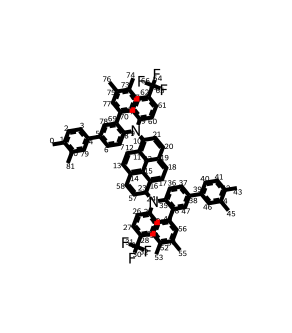 Cc1ccc(-c2ccc(N(C3=C4C=CC5=C6C(=CC=C(C=C3)C46)C(N(c3ccc(C(F)(F)F)cc3)c3ccc(-c4ccc(C)c(C)c4)cc3-c3ccc(C)c(C)c3)C=C5)c3ccc(C(F)(F)F)cc3)c(-c3ccc(C)c(C)c3)c2)cc1C